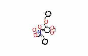 O=C1OC[C@@H](Cc2ccccc2)N1C(=O)[C@@H]1CCC2(C[C@@H]1COCc1ccccc1)OCCO2